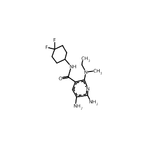 CCN(C)c1nc(N)c(N)cc1C(=O)NC1CCC(F)(F)CC1